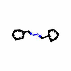 C(=N/N=C/c1ccccc1)c1ccccc1